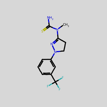 CN(C(N)=S)C1=NN(c2cccc(C(F)(F)F)c2)CC1